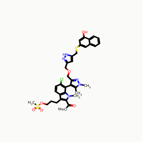 COC(=O)c1c(CCCOS(C)(=O)=O)c2ccc(Cl)c(-c3c(COCc4cc(CSc5cc(O)c6ccccc6c5)[nH]n4)nn(C)c3C)c2n1C